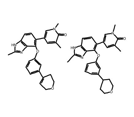 Cc1nc2c(Oc3cccc(C4=CCOCC4)c3)c(-c3cc(C)c(=O)n(C)c3)ccc2[nH]1.Cc1nc2c(Oc3cccc(C4CCOCC4)c3)c(-c3cc(C)c(=O)n(C)c3)ccc2[nH]1